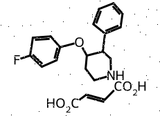 Fc1ccc(OC2CCNCC2c2ccccc2)cc1.O=C(O)C=CC(=O)O